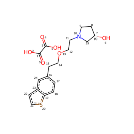 O=C(O)C(=O)O.O[C@H]1CCN(CCOCCc2ccc3sccc3c2)C1